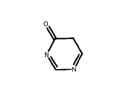 O=C1CC=N[C]=N1